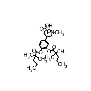 CCCC(C)(C)C(=O)Oc1ccc(C(CNC)CS(=O)(=O)O)cc1OC(=O)C(C)(C)CCC